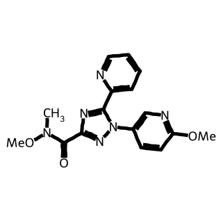 COc1ccc(-n2nc(C(=O)N(C)OC)nc2-c2ccccn2)cn1